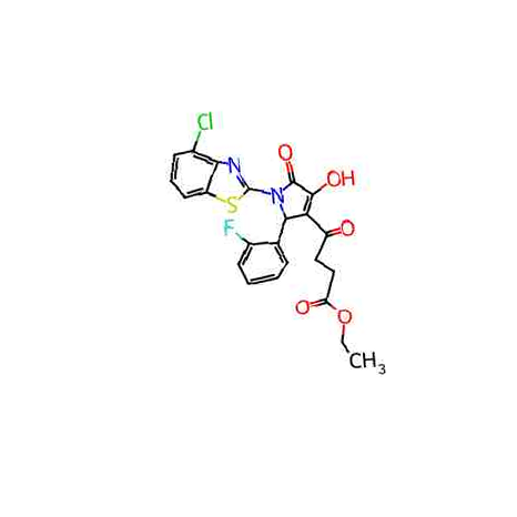 CCOC(=O)CCC(=O)C1=C(O)C(=O)N(c2nc3c(Cl)cccc3s2)C1c1ccccc1F